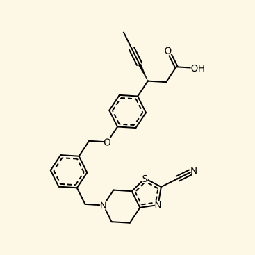 CC#C[C@@H](CC(=O)O)c1ccc(OCc2cccc(CN3CCc4nc(C#N)sc4C3)c2)cc1